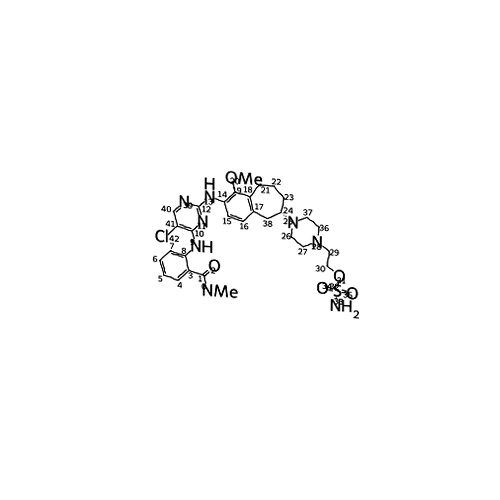 CNC(=O)c1ccccc1Nc1nc(Nc2ccc3c(c2OC)CCC[C@H](N2CCN(CCOS(N)(=O)=O)CC2)C3)ncc1Cl